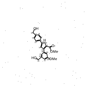 COC(=O)c1[nH]c(-c2ccc(CO)cc2)cc1-c1cc(CO)cc(OC)c1